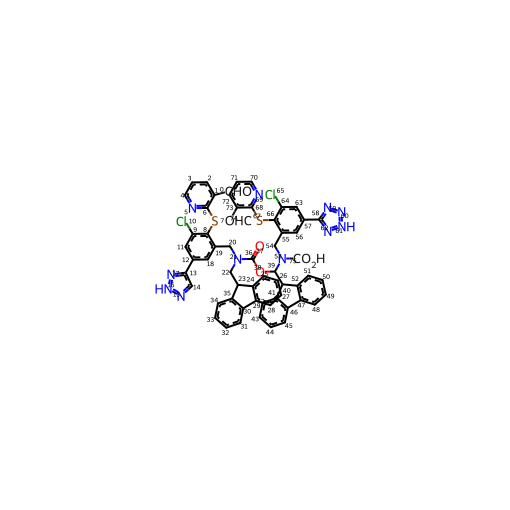 O=Cc1cccnc1Sc1c(Cl)cc(-c2cn[nH]n2)cc1CN(CC1c2ccccc2-c2ccccc21)C(=O)OC(C1c2ccccc2-c2ccccc21)N(Cc1cc(-c2nn[nH]n2)cc(Cl)c1Sc1ncccc1C=O)C(=O)O